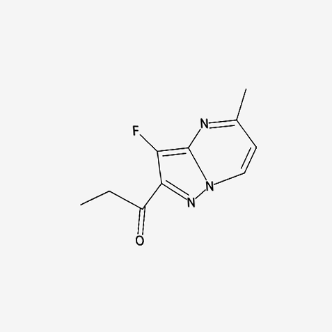 CCC(=O)c1nn2ccc(C)nc2c1F